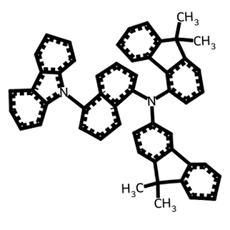 CC1(C)c2ccccc2-c2cc(N(c3cccc4c3-c3ccccc3C4(C)C)c3cccc4c(-n5c6ccccc6c6ccccc65)cccc34)ccc21